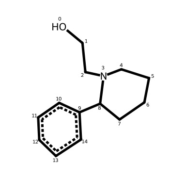 OCCN1CCCCC1c1ccccc1